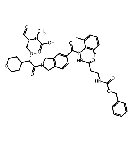 CN(C(=O)O)[C@H](C=O)CN[C@H](C(=O)N1Cc2ccc(C(=O)N(NC(=O)CCNC(=O)OCc3ccccc3)c3c(F)cccc3F)cc2C1)C1CCOCC1